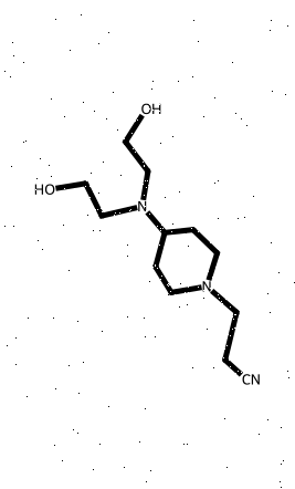 N#CCCN1CCC(N(CCO)CCO)CC1